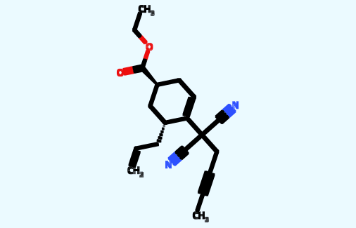 C=CC[C@@H]1C[C@@H](C(=O)OCC)CC=C1C(C#N)(C#N)CC#CC